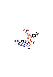 CC(C)C(=O)OCO[P@](=O)(OC[C@H]1O[C@@](C#N)(c2ccc3c(N)ncnn23)[C@H](OC(=O)C(C)C)[C@@H]1OC(=O)C(C)C)Oc1ccc(C(C)(C)C)cc1